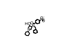 O=C(c1ccc([N+](=O)[O-])cc1)N(Cc1ccccc1)C1CN(C2CCCCC2)CC1O